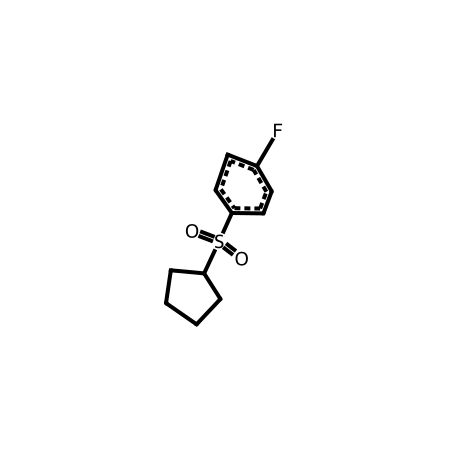 O=S(=O)(c1ccc(F)cc1)C1CCCC1